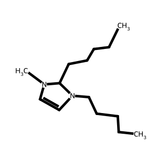 CCCCCC1N(C)C=CN1CCCCC